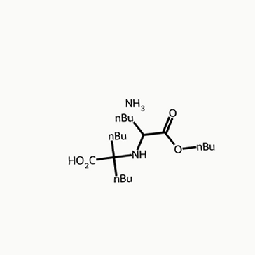 CCCCOC(=O)C(CCCC)NC(CCCC)(CCCC)C(=O)O.N